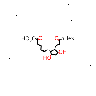 CCCCCCC(=O)CC[C@@H]1[C@@H](C/C=C\CCC(=O)C(=O)O)[C@@H](O)C[C@H]1O